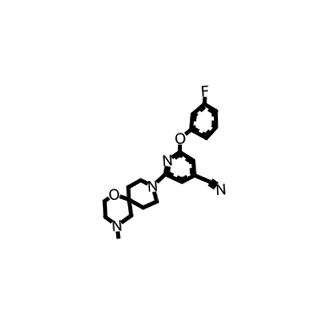 CN1CCOC2(CCN(c3cc(C#N)cc(Oc4cccc(F)c4)n3)CC2)C1